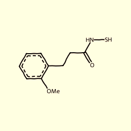 COc1ccccc1CCC(=O)NS